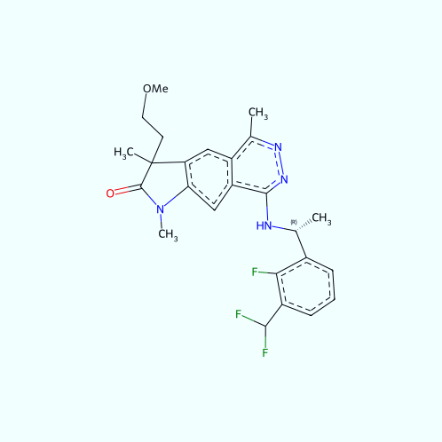 COCCC1(C)C(=O)N(C)c2cc3c(N[C@H](C)c4cccc(C(F)F)c4F)nnc(C)c3cc21